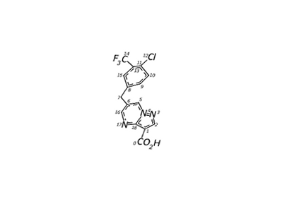 O=C(O)c1cnn2cc(Cc3ccc(Cl)c(C(F)(F)F)c3)cnc12